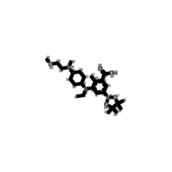 CCN(c1cc(B2OC(C)(C)C(C)(C)O2)cc(C(=O)O)c1C)C1CCC(N(C)CCOC)CC1